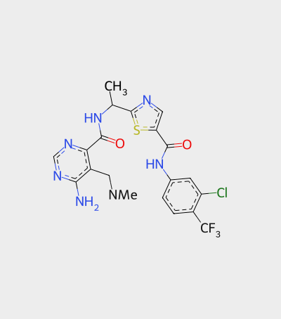 CNCc1c(N)ncnc1C(=O)NC(C)c1ncc(C(=O)Nc2ccc(C(F)(F)F)c(Cl)c2)s1